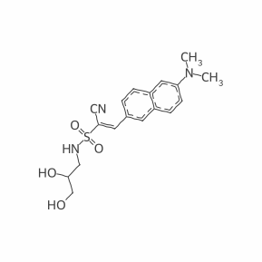 CN(C)c1ccc2cc(/C=C(\C#N)S(=O)(=O)NCC(O)CO)ccc2c1